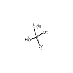 [Ag].[O-][I+3]([O-])([O-])O